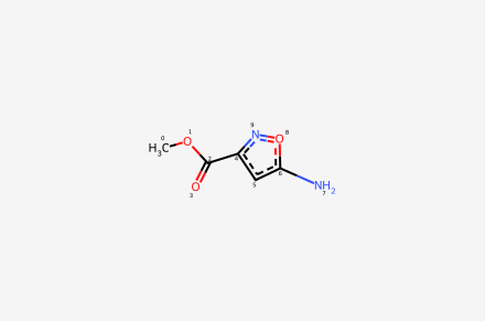 COC(=O)c1cc(N)on1